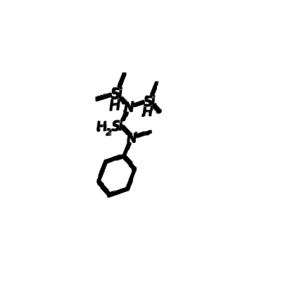 CN([SiH2]N([SiH](C)C)[SiH](C)C)C1CCCCC1